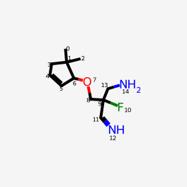 CC1(C)CC=CC1OCC(F)(C=N)CN